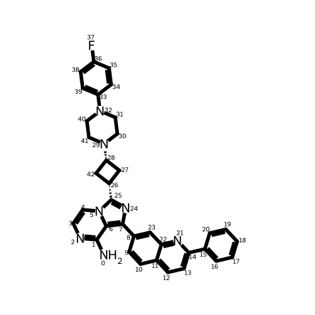 Nc1nccn2c1c(-c1ccc3ccc(-c4ccccc4)nc3c1)nc2[C@H]1C[C@@H](N2CCN(c3ccc(F)cc3)CC2)C1